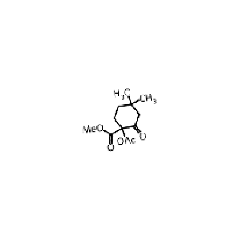 COC(=O)C1(OC(C)=O)CCC(C)(C)CC1=O